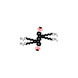 CCCCCCCCC1(CCCCCCCC)c2cc(B3OCCO3)ccc2-c2cc3c(cc21)-c1ccc(B2OCCO2)cc1C3(CCCCCCCC)CCCCCCCC